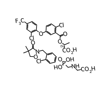 CC1(C)CON(Cc2ccccc2Cl)C1=O.C[C@H](OC(=O)c1cc(Oc2ccc(C(F)(F)F)cc2Cl)ccc1Cl)C(=O)O.O=C(O)CNCP(=O)(O)O